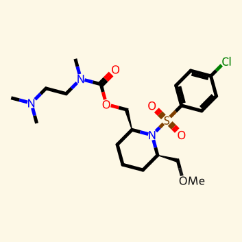 COC[C@H]1CCC[C@@H](COC(=O)N(C)CCN(C)C)N1S(=O)(=O)c1ccc(Cl)cc1